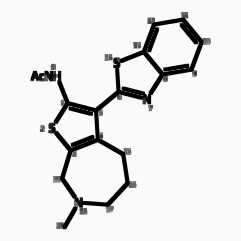 CC(=O)Nc1sc2c(c1-c1nc3ccccc3s1)CCCN(C)C2